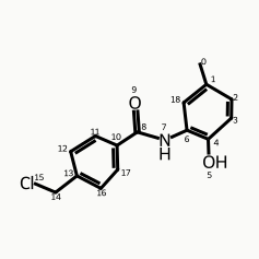 Cc1ccc(O)c(NC(=O)c2ccc(CCl)cc2)c1